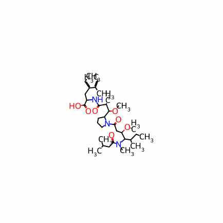 C/C=C(C)\C(=C/C)CC(NC(=O)C(C)C(OC)C1CCCN1C(=O)CC(OC)C(C(C)CC)N(C)C(=O)CC(C)C)C(=O)O